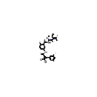 C=CC(=C(/C)F)/C(F)=C(\N=C)NC(=O)c1cc(NC(=O)C2C(c3cc(Cl)cc(Cl)c3)C2(Cl)Cl)ccc1Cl